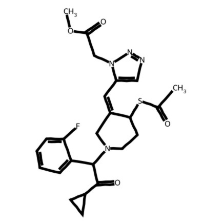 COC(=O)Cn1nncc1C=C1CN(C(C(=O)C2CC2)c2ccccc2F)CCC1SC(C)=O